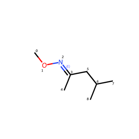 CO/N=C(\C)CC(C)C